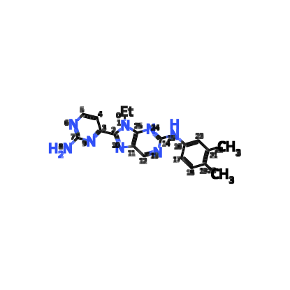 CCn1c(-c2ccnc(N)n2)nc2cnc(Nc3ccc(C)c(C)c3)nc21